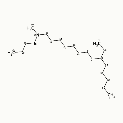 CCCCCC(CC)CCCCCCCCN(C)CCCC